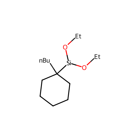 CCCCC1([Si](OCC)OCC)CCCCC1